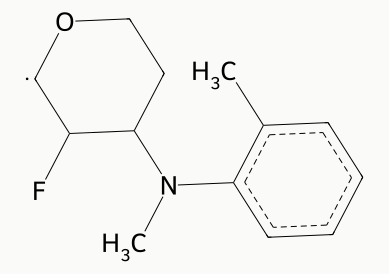 Cc1ccccc1N(C)C1CCO[CH]C1F